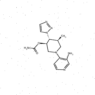 C[C@H]1CN(c2ccncc2N)C[C@@H](OC(N)=O)[C@@H]1n1ccnn1